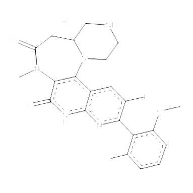 COc1cccc(F)c1-c1nc2[nH]c(=O)c3c(c2cc1F)N1CCNC[C@@H]1CC(=O)N3C